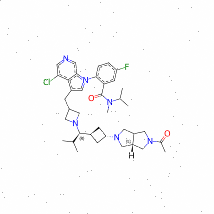 CC(=O)N1CC2CN([C@H]3C[C@H]([C@@H](C(C)C)N4CC(Cc5cn(-c6ccc(F)cc6C(=O)N(C)C(C)C)c6cncc(Cl)c56)C4)C3)C[C@H]2C1